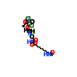 CC(=O)NCCCCCCCCCCS(=O)(=O)NC(=O)c1ccc(N2C[C@@H]3C[C@H]2C[C@H]3OCc2c(-c3c(Cl)cccc3Cl)noc2C2CC2)c(F)c1